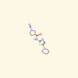 N#CN1CCC(C(=O)Nc2ncc(N3CCCCC3)s2)C1